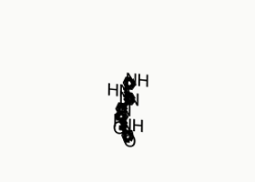 O=C(Nc1cc2nc(-c3cncc(NC4CCNCC4)n3)ccc2cn1)C1CCOCC1